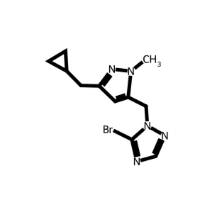 Cn1nc(CC2CC2)cc1Cn1ncnc1Br